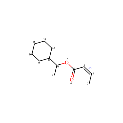 C/C=C\C(=O)OC(C)C1CCCCC1